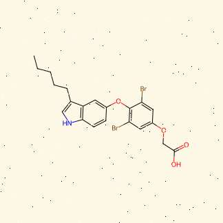 CCCCCc1c[nH]c2ccc(Oc3c(Br)cc(OCC(=O)O)cc3Br)cc12